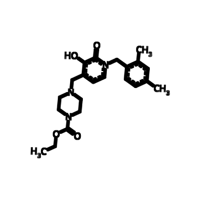 CCOC(=O)N1CCN(Cc2ccn(Cc3ccc(C)cc3C)c(=O)c2O)CC1